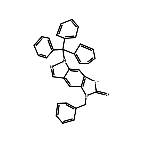 O=c1[nH]c2cc3c(cnn3C(c3ccccc3)(c3ccccc3)c3ccccc3)cc2n1Cc1ccccc1